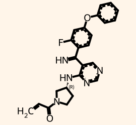 C=CC(=O)N1CC[C@@H](Nc2ncncc2C(=N)c2ccc(Oc3ccccc3)cc2F)C1